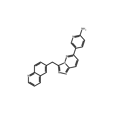 Nc1ccc(-c2ccc3nnc(Cc4ccc5ncccc5c4)n3n2)cn1